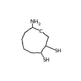 NC1CCCCC(S)C(S)CC1